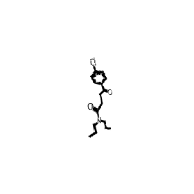 CCCN(CCC)C(=O)CCC(=O)c1ccc(Cl)cc1